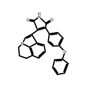 O=C1NC(=O)C(c2cn3c4c(cccc24)CCC3)=C1c1ccc(Oc2ccccc2)cc1